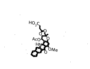 COc1cc2c(c3[nH]c4cc5ccccc5cc4c(=O)c13)[C@H](OC(C)=O)[C@H](OC(=O)CCC(=O)O)C(C)(C)O2